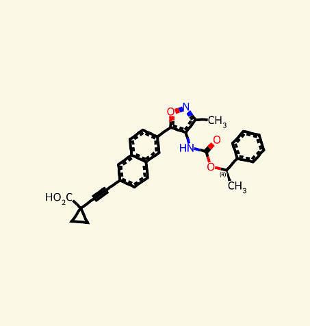 Cc1noc(-c2ccc3cc(C#CC4(C(=O)O)CC4)ccc3c2)c1NC(=O)O[C@H](C)c1ccccc1